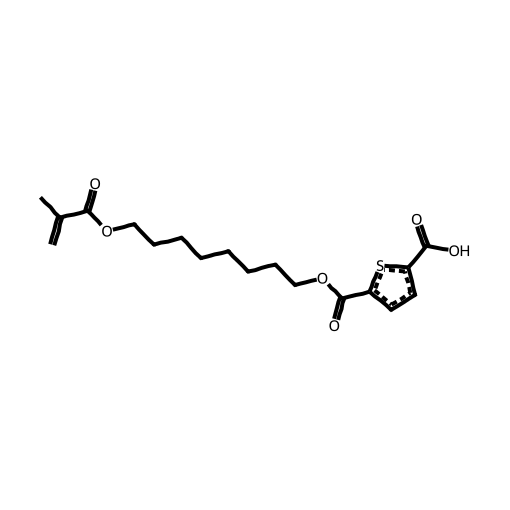 C=C(C)C(=O)OCCCCCCCCOC(=O)c1ccc(C(=O)O)s1